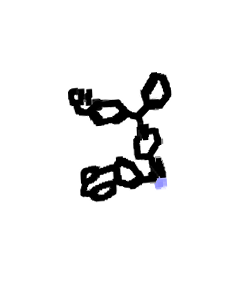 CCc1ccc(C(c2ccccc2)N2CCC(/N=C\c3ccc4c(c3)OCO4)CC2)cc1